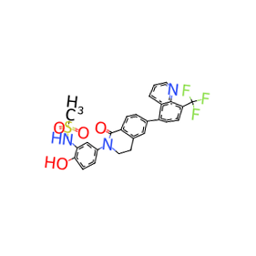 CS(=O)(=O)Nc1cc(N2CCc3cc(-c4ccc(C(F)(F)F)c5ncccc45)ccc3C2=O)ccc1O